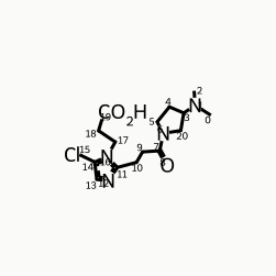 CN(C)C1CCN(C(=O)CCc2ncc(Cl)n2CCC(=O)O)C1